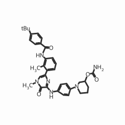 Cc1c(NC(=O)c2ccc(C(C)(C)C)cc2)cccc1-c1cn(C)c(=O)c(Nc2ccc(N3CCCC(OC(N)=O)C3)cc2)n1